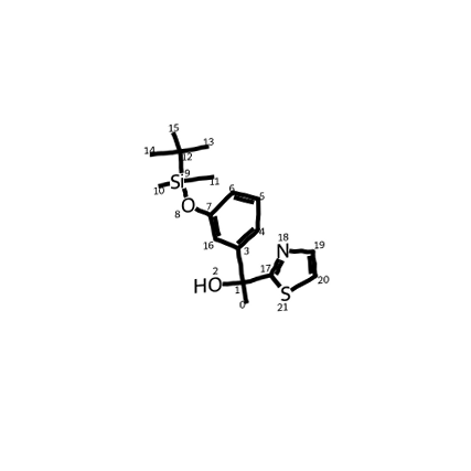 CC(O)(c1cccc(O[Si](C)(C)C(C)(C)C)c1)c1nccs1